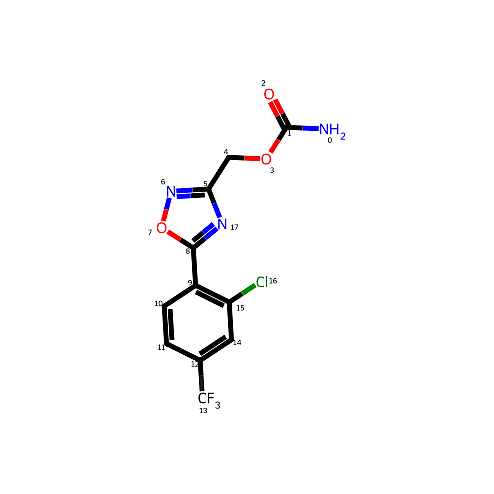 NC(=O)OCc1noc(-c2ccc(C(F)(F)F)cc2Cl)n1